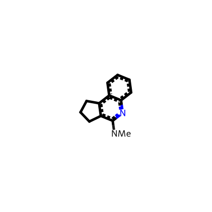 CNc1nc2ccccc2c2c1CCC2